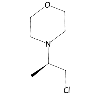 C[C@H](CCl)N1CCOCC1